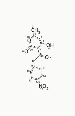 Cc1cc(O)c(C(=O)Cc2ccc([N+](=O)[O-])cc2)c(=O)o1